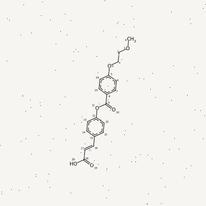 COCCOc1ccc(C(=O)Oc2ccc(/C=C/C(=O)O)cc2)cc1